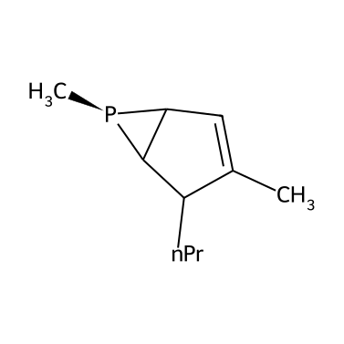 CCCC1C(C)=CC2C1[P@@]2C